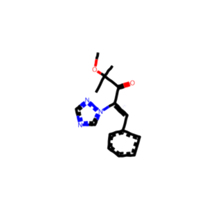 COC(C)(C)C(=O)/C(=C/c1ccccc1)n1cncn1